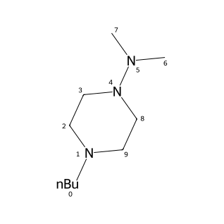 CCCCN1CCN(N(C)C)CC1